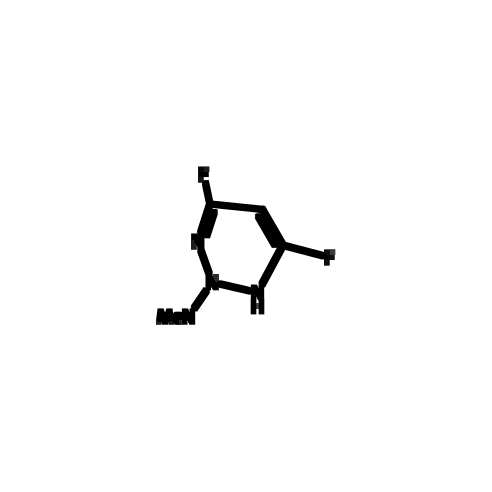 CNN1N=C(F)C=C(F)N1